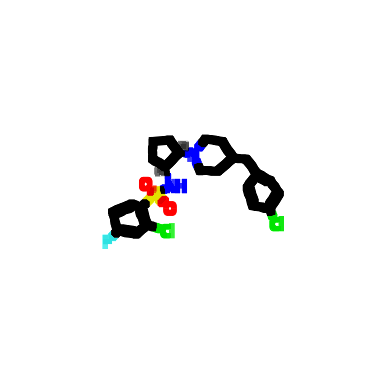 O=S(=O)(N[C@@H]1CCC[C@H]1N1CCC(Cc2ccc(Cl)cc2)CC1)c1ccc(F)cc1Cl